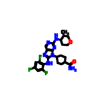 C[C@@H]1COCC[C@H]1Nc1ncc2nc(Nc3c(F)cc(F)cc3F)n(C3CCC(C(N)=O)CC3)c2n1